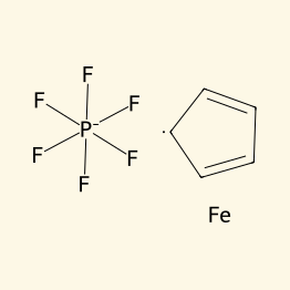 F[P-](F)(F)(F)(F)F.[CH]1C=CC=C1.[Fe]